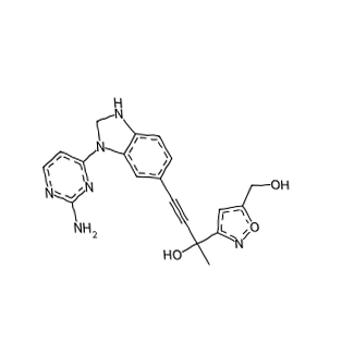 CC(O)(C#Cc1ccc2c(c1)N(c1ccnc(N)n1)CN2)c1cc(CO)on1